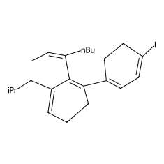 C/C=C(/CCCC)C1=C(C2=CC=C(I)CC2)CCC=C1CC(C)C